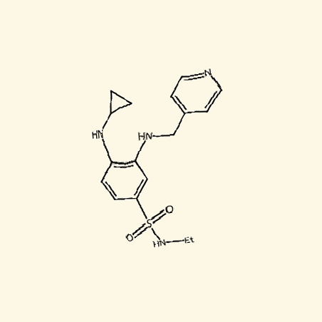 CCNS(=O)(=O)c1ccc(NC2CC2)c(NCc2ccncc2)c1